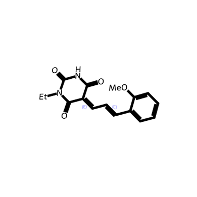 CCN1C(=O)NC(=O)/C(=C\C=C\c2ccccc2OC)C1=O